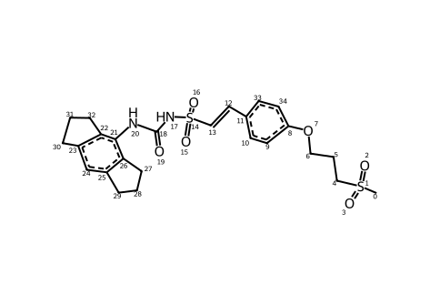 CS(=O)(=O)CCCOc1ccc(/C=C/S(=O)(=O)NC(=O)Nc2c3c(cc4c2CCC4)CCC3)cc1